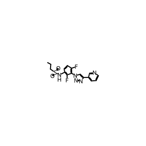 CCCS(=O)(=O)Nc1ccc(F)c(-n2cc(-c3cccnc3)nn2)c1F